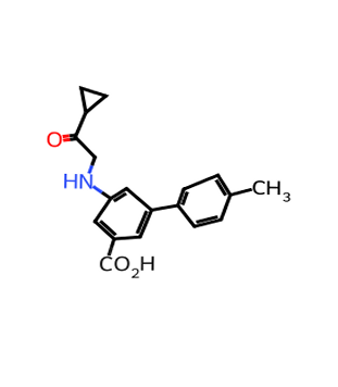 Cc1ccc(-c2cc(NCC(=O)C3CC3)cc(C(=O)O)c2)cc1